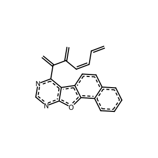 C=C/C=C\C(=C)C(=C)c1ncnc2oc3c4ccccc4ccc3c12